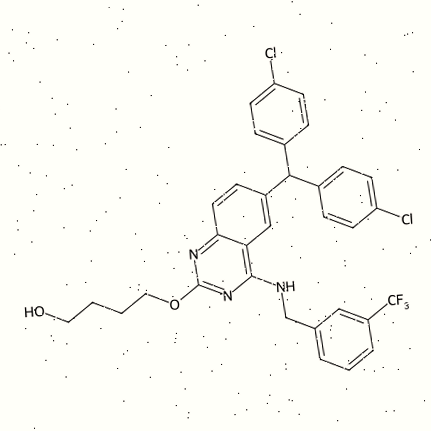 OCCCCOc1nc(NCc2cccc(C(F)(F)F)c2)c2cc(C(c3ccc(Cl)cc3)c3ccc(Cl)cc3)ccc2n1